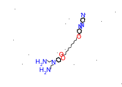 CN(C)c1ccc(N=Nc2ccc(OCCCCCCCCCCC(=O)Oc3ccc(N(CCCN)CCCN)cc3)cc2)cc1